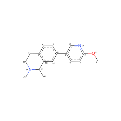 COc1ccc(-c2ccc3c(c2)C(C)N(C)CC3)cn1